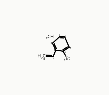 C=Cc1ccccc1CC.[CH]